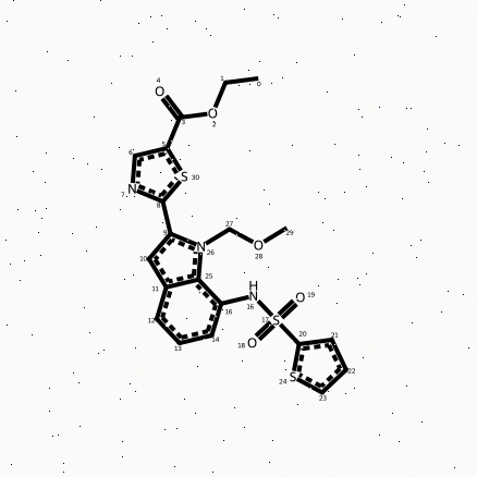 CCOC(=O)c1cnc(-c2cc3cccc(NS(=O)(=O)c4cccs4)c3n2COC)s1